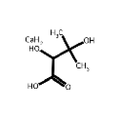 CC(C)(O)C(O)C(=O)O.[CaH2]